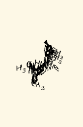 COc1cc(N2CCN(C)CC2)c(-c2cnn(C)c2)cc1Nc1ncc(Br)c(Nc2ccc3nc(C4CC4)ccc3c2P(C)(C)=O)n1